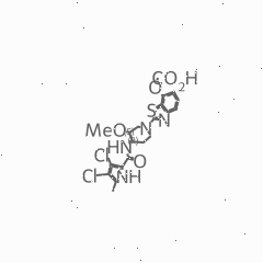 CO[C@H]1CN(c2nc3cccc(OC(=O)O)c3s2)CC[C@H]1NC(=O)c1[nH]c(C)c(Cl)c1Cl